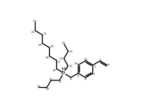 C=Cc1ccc(C[PH](CCCC)(CCCC)CCCCCCCC)cc1